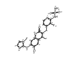 Cc1c(Cc2ccnc(NS(N)(=O)=O)c2F)c(=O)oc2cc(Oc3nccn3C)c(Cl)cc12